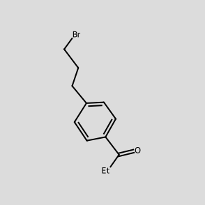 CCC(=O)c1ccc(CCCBr)cc1